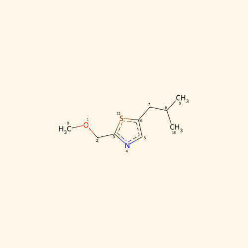 COCc1ncc(CC(C)C)s1